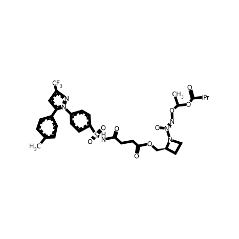 Cc1ccc(-c2cc(C(F)(F)F)nn2-c2ccc(S(=O)(=O)NC(=O)CCC(=O)OC[C@@H]3CCN3[N+]([O-])=NOC(C)OC(=O)C(C)C)cc2)cc1